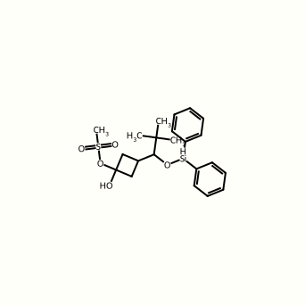 CC(C)(C)C(O[SiH](c1ccccc1)c1ccccc1)C1CC(O)(OS(C)(=O)=O)C1